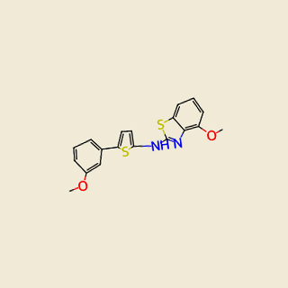 COc1cccc(-c2ccc(Nc3nc4c(OC)cccc4s3)s2)c1